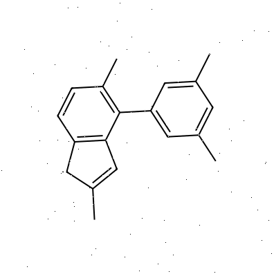 CC1=Cc2c(ccc(C)c2-c2cc(C)cc(C)c2)[CH]1